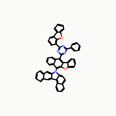 c1ccc(-c2nc(-c3cccc4c3oc3ccccc34)nc(-c3c4ccccc4c(-n4c5cc6ccccc6cc5c5c6ccccc6ccc54)c4oc5ccccc5c34)n2)cc1